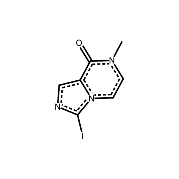 Cn1ccn2c(I)ncc2c1=O